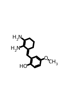 COc1ccc(O)c(C=C2CCCC(N)=C2N)c1